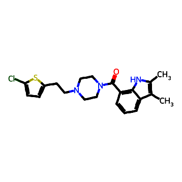 Cc1[nH]c2c(C(=O)N3CCN(CCc4ccc(Cl)s4)CC3)cccc2c1C